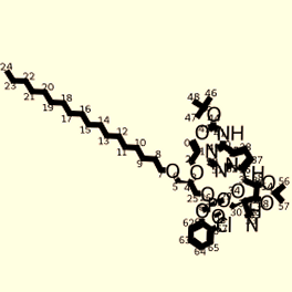 C=CCO[C@H](COCCCCCCCCCCCCCCCCCC)COP(=O)(OC[C@@]1(C#N)O[C@@H](c2ccc3c(NC(=O)OC(C)(C)C)ncnn23)[C@@H]2OC(C)(C)O[C@@H]21)Oc1ccccc1Cl